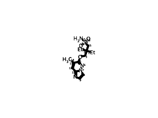 CCC(CC)(COc1nn2ccnc2cc1C)CS(N)(=O)=O